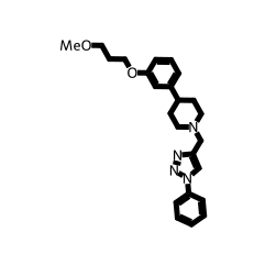 COCCCOc1cccc(C2CCN(Cc3cn(-c4ccccc4)nn3)CC2)c1